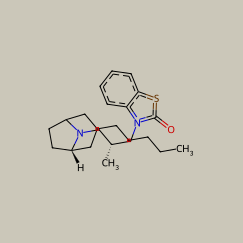 CCCCCC1CC2CC[C@@H](C1)N2C[C@@H](C)Cn1c(=O)sc2ccccc21